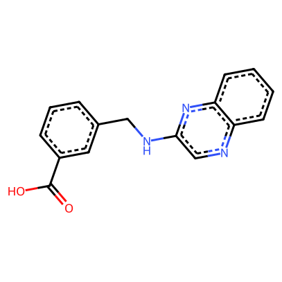 O=C(O)c1cccc(CNc2cnc3ccccc3n2)c1